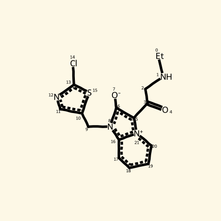 CCNCC(=O)c1c([O-])n(Cc2cnc(Cl)s2)c2cccc[n+]12